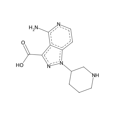 Nc1nccc2c1c(C(=O)O)nn2C1CCCNC1